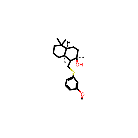 COc1cccc(SCC2[C@](C)(O)CC[C@H]3C(C)(C)CCC[C@]23C)c1